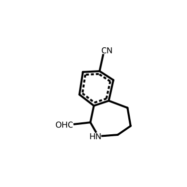 N#Cc1ccc2c(c1)CCCNC2C=O